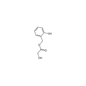 O=C(CO)OCc1ccccc1O